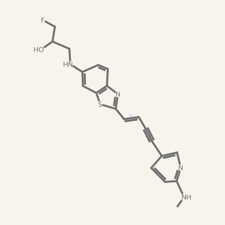 CNc1ccc(C#C/C=C/c2nc3ccc(NCC(O)CF)cc3s2)cn1